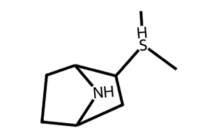 C[SH](C)C1CC2CCC1N2